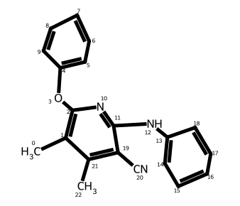 Cc1c(Oc2ccccc2)nc(Nc2ccccc2)c(C#N)c1C